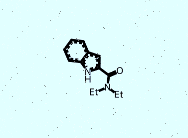 CCN(CC)C(=O)c1cc2ccccc2[nH]1